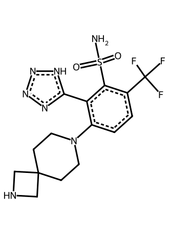 NS(=O)(=O)c1c(C(F)(F)F)ccc(N2CCC3(CC2)CNC3)c1-c1nnn[nH]1